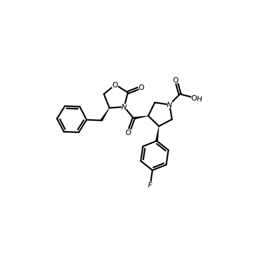 O=C(O)N1C[C@H](C(=O)N2C(=O)OC[C@@H]2Cc2ccccc2)[C@H](c2ccc(F)cc2)C1